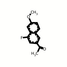 COc1ccc2cc(C(C)=O)cc(F)c2c1